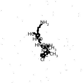 CC(=N)N1C(=N)[C@H](CC(=O)NCCC(=O)Nc2ccc(C#CCCCCN)c(CO)c2)N=C(c2ccc(Cl)cc2)c2c1sc(C)c2C